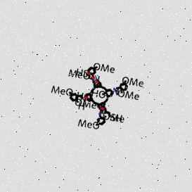 COc1ccc(OC)c(/C=N/c2cc3c(O)c(c2)Cc2cc(/N=C/c4cc(OC)ccc4OC)cc(c2OCCCCS)Cc2cc(NCc4cc(OC)ccc4OC)cc(c2O)Cc2cc(/N=C/c4cc(OC)ccc4OC)cc(c2OCCCCS)C3)c1